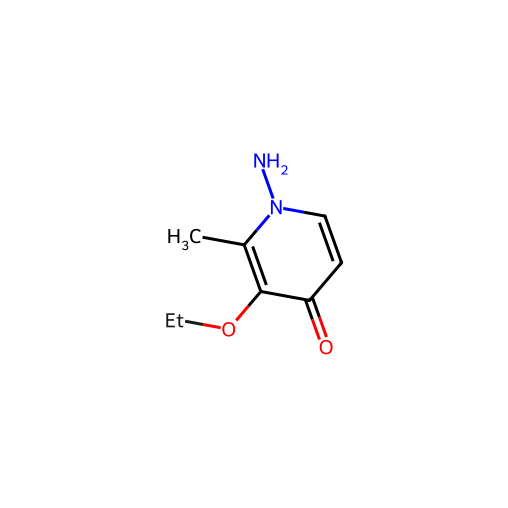 CCOc1c(C)n(N)ccc1=O